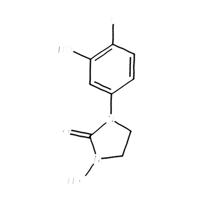 CN1CCN(c2ccc(F)c(O)c2)C1=O